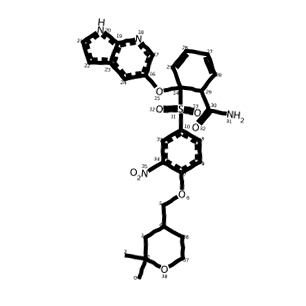 CC1(C)CC(COc2ccc(S(=O)(=O)C3(Oc4cnc5[nH]ccc5c4)C=CC=CC3C(N)=O)cc2[N+](=O)[O-])CCO1